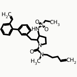 C=CCCCN(C)C(=O)N1CCC(NS(=O)(=O)CC)C1Cc1cccc(-c2ccccc2C=C)c1